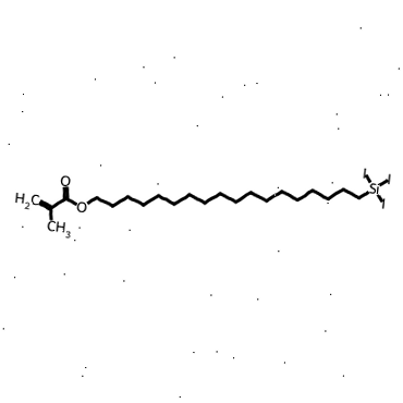 C=C(C)C(=O)OCCCCCCCCCCCCCCCCCC[Si](I)(I)I